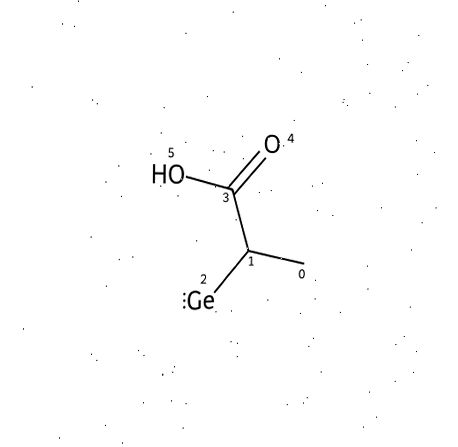 C[CH]([Ge])C(=O)O